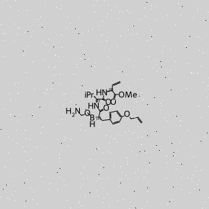 C=CCOc1ccc(C[C@H](BOCN)C(=O)N[C@H](C(=O)N[C@@H](C=C)C(=O)OC)C(C)C)cc1